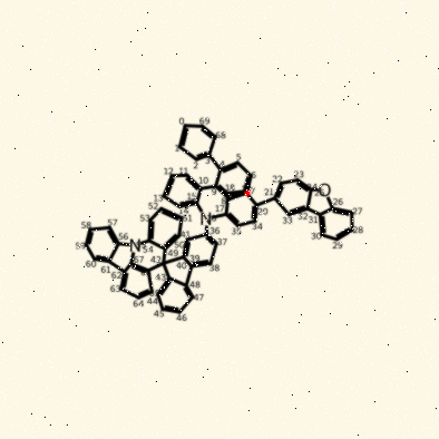 c1ccc(-c2ccccc2-c2ccccc2N(c2ccc(-c3ccc4oc5ccccc5c4c3)cc2)c2ccc3c(c2)C2(c4ccccc4-3)c3ccccc3-n3c4ccccc4c4cccc2c43)cc1